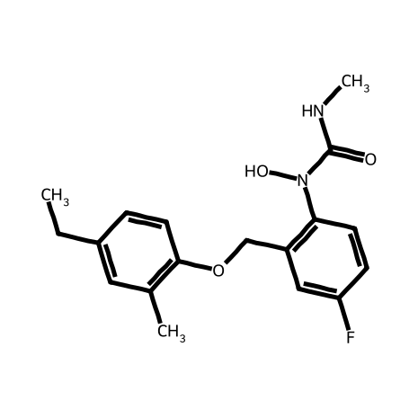 CCc1ccc(OCc2cc(F)ccc2N(O)C(=O)NC)c(C)c1